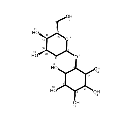 OC[C@H]1OC(OC2C(O)C(O)C(O)C(O)C2O)C[C@@H](O)[C@H]1O